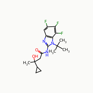 CC(O)(CC(=O)Nc1nc2cc(F)c(F)c(F)c2n1C(C)(C)C)C1CC1